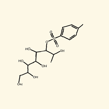 Cc1ccc(S(=O)(=O)OC(C(C)S)C(O)C(O)C(O)C(O)CO)cc1